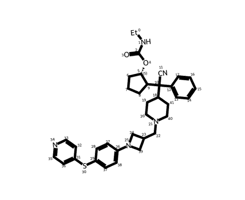 CCNC(=O)O[C@H]1CCCC1C(C#N)(c1ccccc1)C1CCN(CC2CN(c3ccc(Sc4ccncc4)cc3)C2)CC1